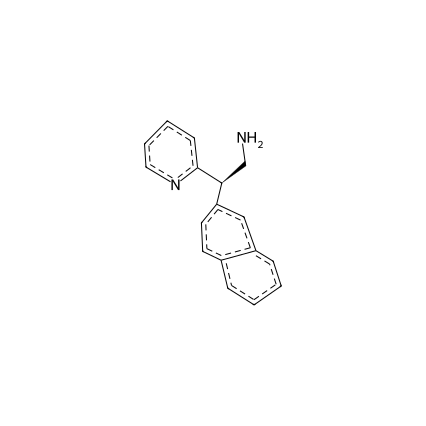 NC[C@@H](c1ccc2ccccc2c1)c1ccccn1